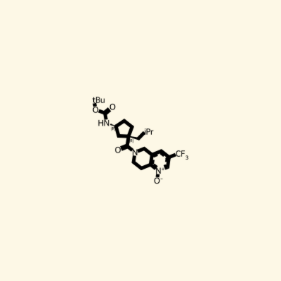 CC(C)C[C@]1(C(=O)N2CCc3c(cc(C(F)(F)F)c[n+]3[O-])C2)CC[C@@H](NC(=O)OC(C)(C)C)C1